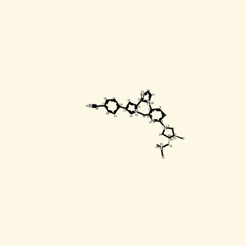 C[C@@H]1CN(c2ccc3c(n2)Cn2cc(-c4ccc(C#N)cc4)cc2-c2nccn2-3)C[C@H]1CN(C)C